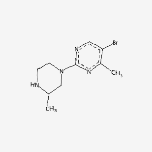 Cc1nc(N2CCNC(C)C2)ncc1Br